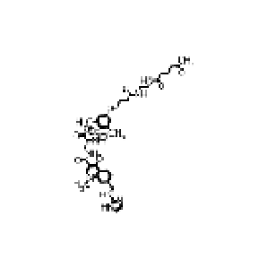 CC(=O)CCCC(=O)NCCNC(=O)CCCOc1cc(C)c(S(=O)(=O)N[C@@H](CNC(=O)c2cn(C)c3cc(CNc4ncc[nH]4)ccc3c2=O)C(=O)O)c(C)c1